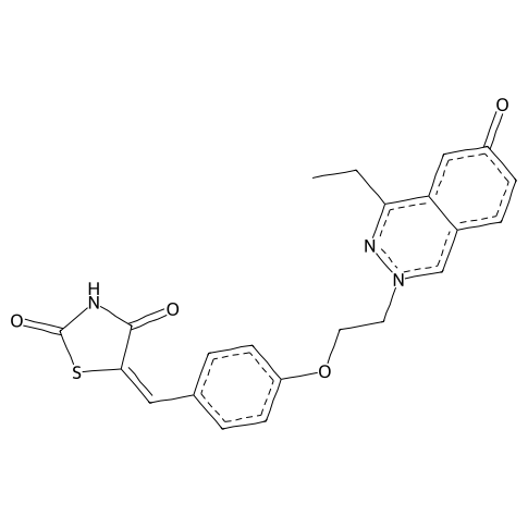 CCc1nn(CCOc2ccc(C=C3SC(=O)NC3=O)cc2)cc2ccc(=O)cc1-2